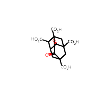 O=C(O)C1C2CC3(C(=O)O)CC(C(=O)O)(CC1(C(=O)O)C3=O)C2=O